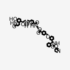 O=C(N[C@@H](c1ccccc1)c1cccc(OCc2ccc(C(=O)OCCNC(=O)c3ccc(CNCC(O)c4ccc(O)c5[nH]c(=O)ccc45)nc3)cc2)c1)OC1CN2CCC1CC2